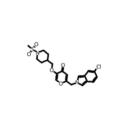 CS(=O)(=O)N1CCC(COc2coc(Cn3cc4ccc(Cl)cc4c3)cc2=O)CC1